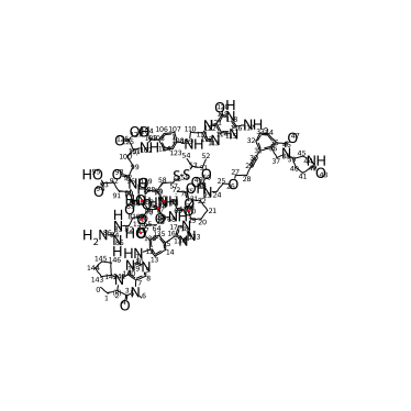 CC[C@@H]1C(=O)N(C)c2cnc(Nc3ccc(-c4cn([C@H]5CC[C@@H](N(CCOCCC#Cc6cccc7c6CN(C6CCC(=O)NC6)C7=O)C(=O)OC(C)C(C)SSCC[C@@H](NC(=O)[C@@H](CC(=O)O)NC(=O)[C@@H](CC(=O)O)NC(=O)[C@@H](CCCNC(=N)N)NC(=O)[C@@H](CCC(=O)O)NC(=O)CC[C@H](NC(=O)c6ccc(NCc7cnc8nc(N)[nH]c(=O)c8n7)cc6)C(=O)O)C(=O)O)CC5)nn4)cc3OC)nc2N1C1CCCC1